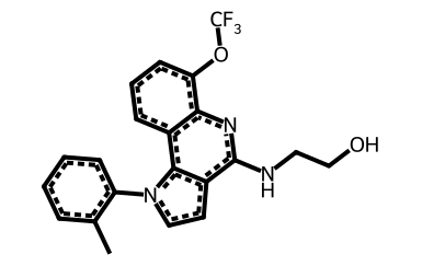 Cc1ccccc1-n1ccc2c(NCCO)nc3c(OC(F)(F)F)cccc3c21